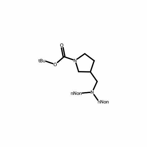 CCCCCCCCCN(CCCCCCCCC)CC1CCN(C(=O)OC(C)(C)C)C1